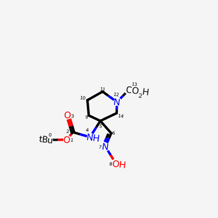 CC(C)(C)OC(=O)NC1(/C=N/O)CCCN(C(=O)O)C1